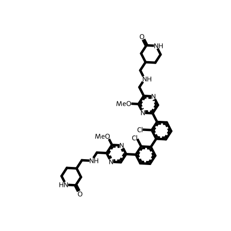 COc1nc(-c2cccc(-c3cccc(-c4cnc(CNCC5CCNC(=O)C5)c(OC)n4)c3Cl)c2Cl)cnc1CNCC1CCNC(=O)C1